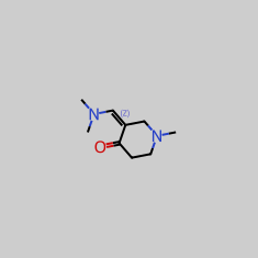 CN(C)/C=C1/CN(C)CCC1=O